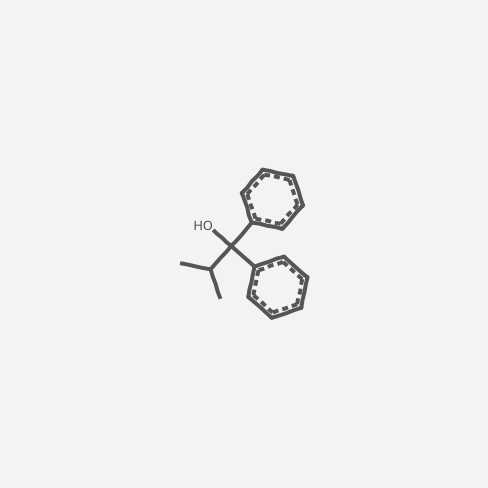 CC(C)C(O)(c1ccccc1)c1ccccc1